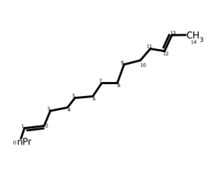 [CH2]CCC=CCCCCCCCCCC=CC